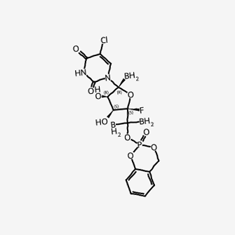 BC(B)(OP1(=O)OCc2ccccc2O1)[C@@]1(F)O[C@@](B)(n2cc(Cl)c(=O)[nH]c2=O)[C@H](O)[C@@H]1O